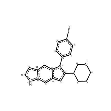 Fc1ccc(-n2c(C3CCCOC3)cc3cc4[nH]ncc4cc32)cc1